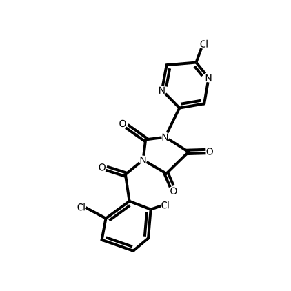 O=C1C(=O)N(c2cnc(Cl)cn2)C(=O)N1C(=O)c1c(Cl)cccc1Cl